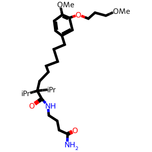 COCCCOc1cc(CCCCCCC(C(=O)NCCCC(N)=O)(C(C)C)C(C)C)ccc1OC